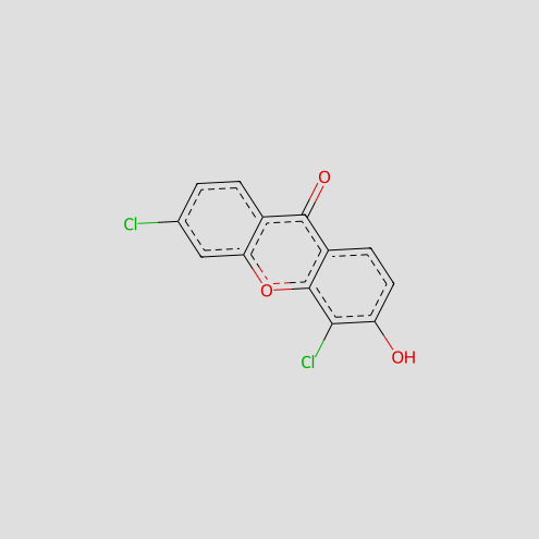 O=c1c2ccc(Cl)cc2oc2c(Cl)c(O)ccc12